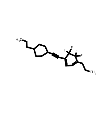 CCCC1=CC=C(C#CC2CCC(CCC)CC2)C(F)(F)C1(F)F